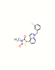 CN1C(=O)SC(c2cccc3c2ccn3Cc2cccc(F)c2)C1=O